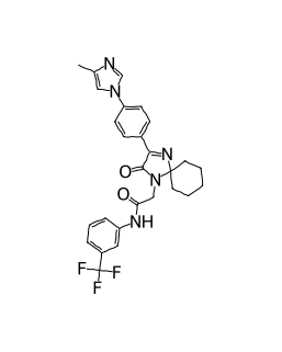 Cc1cn(-c2ccc(C3=NC4(CCCCC4)N(CC(=O)Nc4cccc(C(F)(F)F)c4)C3=O)cc2)cn1